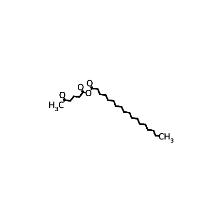 CCCCCCCCCCCCCCCCCC(=O)OC(=O)CCCC(C)=O